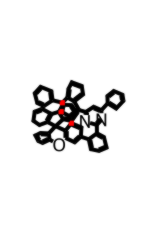 C1=CC2=C(CC1)C1(c3ccccc3Oc3cc(-c4ccccc4-c4nc(-c5ccccc5)cc(-c5ccc(-c6ccccc6)c6ccccc56)n4)ccc31)c1ccccc12